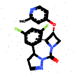 C[C@@H]1[C@H](Oc2ccnc(C#N)c2)CN1C(=O)N1N=CCC1c1cc(F)cc(F)c1